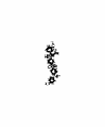 COc1ccc(Nc2ccc(S(=O)(=O)c3ccc(Nc4cc(C)nc5c(OC)cccc45)cc3)cc2)cc1